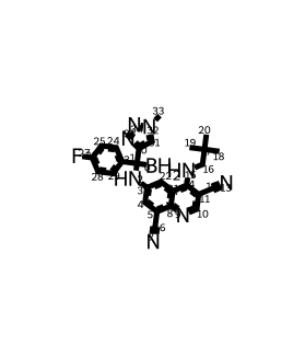 BC(Nc1cc(C#N)c2ncc(C#N)c(NCC(C)(C)C)c2c1)(c1ccc(F)cc1)c1cn(C)nn1